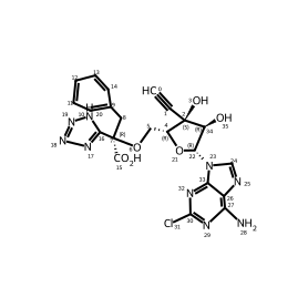 C#C[C@@]1(O)[C@@H](CO[C@@](Cc2ccccc2)(C(=O)O)c2nnn[nH]2)O[C@@H](n2cnc3c(N)nc(Cl)nc32)[C@@H]1O